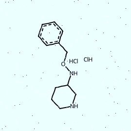 Cl.Cl.c1ccc(CONC2CCCNC2)cc1